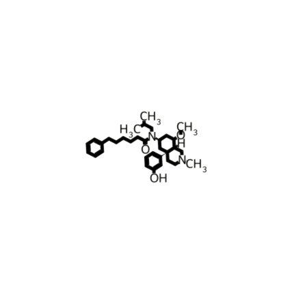 COC1C[C@H](N(CC(C)C)C(=O)CCCCCc2ccccc2)C[C@]2(c3cccc(O)c3)CCN(C)C[C@@H]12